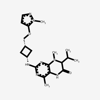 Cc1nc(N[C@H]2C[C@@H](COc3ccnn3C)C2)nc2c1NC(=O)C(C(C)C)N2C